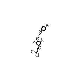 CC(C)c1cc(OCC=C(Cl)Cl)cc(C(C)C)c1OCCCOc1ccc(Br)cc1